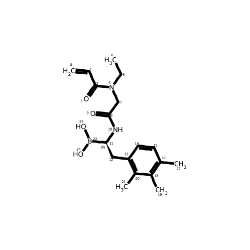 C=CC(=O)N(CC)CC(=O)N[C@@H](Cc1ccc(C)c(C)c1C)B(O)O